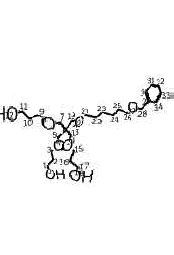 OCCCOCC(COCCCO)(COCCCO)COCCCCCCOCc1ccccc1